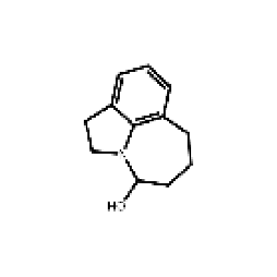 OC1CCCc2cccc3c2N1CC3